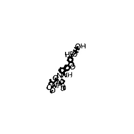 COC[C@H]1C[C@@H](c2nc3ccc4cc5c(cc4c3[nH]2)OCc2cc(BOC(C)(C)C(C)(C)O)ccc2-5)N(C(=O)[C@@H](NC(=O)OC)C(C)C)C1